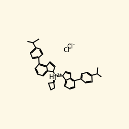 CC(C)c1ccc(-c2cccc3c2C=C[CH]3[Hf+2](=[C]2CCC2)[CH]2C=Cc3c(-c4ccc(C(C)C)cc4)cccc32)cc1.[Cl-].[Cl-]